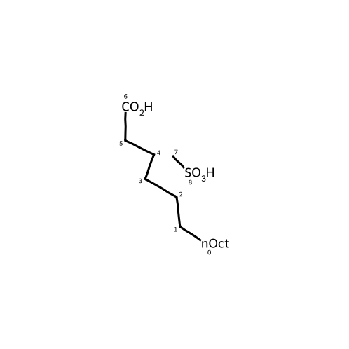 CCCCCCCCCCCCCC(=O)O.CS(=O)(=O)O